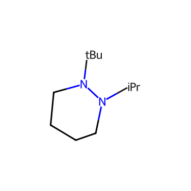 CC(C)N1CCCCN1C(C)(C)C